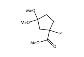 COC(=O)C1(C(C)C)CCC(OC)(OC)C1